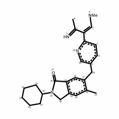 CN/C=C(\C(C)=N)c1ccc(Cc2cc3c(cc2C)CN(C2CCCCC2)C3=O)cn1